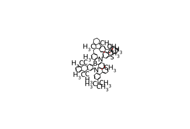 Cc1cc2c3c(c1)N(c1ccc(C(C)(C)C)cc1-c1ccccc1)c1cc4c(cc1B3c1ccc(CC3c5ccc(C(C)(C)C)cc5C5(C)CCCCC35C)cc1N2c1ccc2c(c1)sc1ccccc12)C(C)(C)c1ccccc1C4(C)C